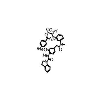 COc1cc(CC(=O)N(C)c2cccc(C(CCC(=O)O)NC(=O)c3ccccc3)c2)ccc1NC(=O)N1CCc2ccccc21